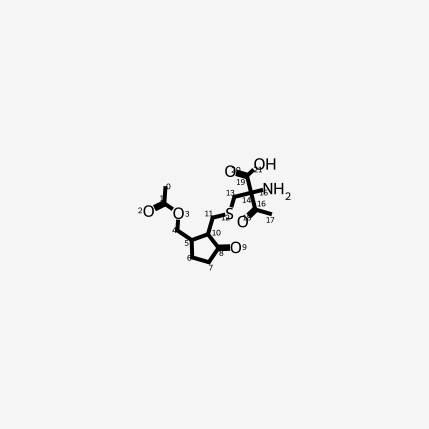 CC(=O)OCC1CCC(=O)C1CSCC(N)(C(C)=O)C(=O)O